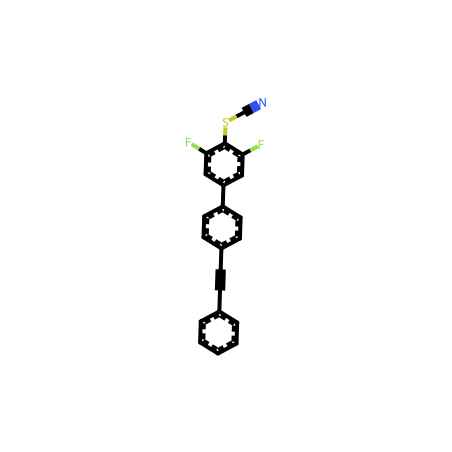 N#CSc1c(F)cc(-c2ccc(C#Cc3ccccc3)cc2)cc1F